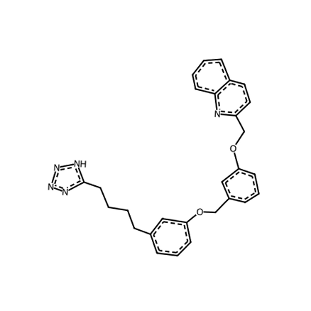 c1cc(CCCCc2nnn[nH]2)cc(OCc2cccc(OCc3ccc4ccccc4n3)c2)c1